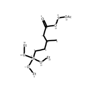 CCO[Si](CCC(C)CC(=O)OSOC(C)=O)(OCC)OCC